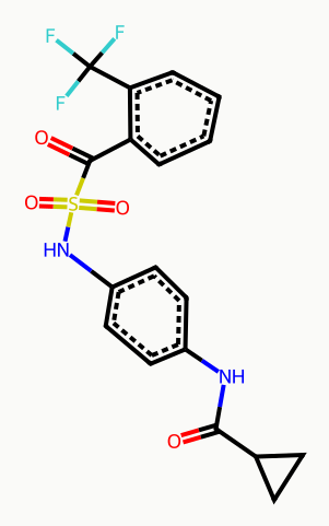 O=C(Nc1ccc(NS(=O)(=O)C(=O)c2ccccc2C(F)(F)F)cc1)C1CC1